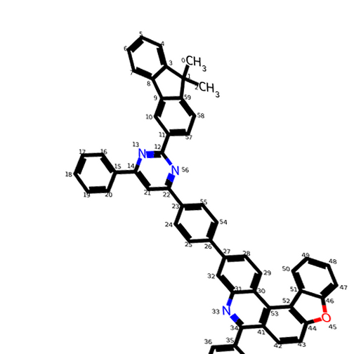 CC1(C)c2ccccc2-c2cc(-c3nc(-c4ccccc4)cc(-c4ccc(-c5ccc6c(c5)nc(-c5ccccc5)c5ccc7oc8ccccc8c7c56)cc4)n3)ccc21